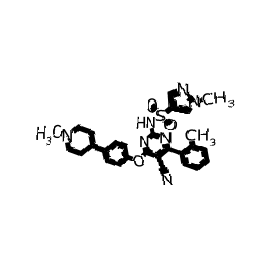 Cc1ccccc1-c1nc(NS(=O)(=O)c2cnn(C)c2)nc(Oc2ccc(C3CCN(C)CC3)cc2)c1C#N